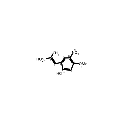 COc1ccc(C=C(C)C(=O)O)cc1[N+](=O)[O-].Cl